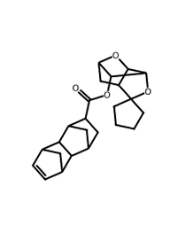 O=C(OC1C2CC3C(O2)C1OC31CCCC1)C1CC2CC1C1C3C=CC(C3)C21